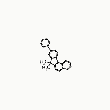 CC1(C)c2cc(-c3ccccc3)ccc2-c2c1ccc1ccccc21